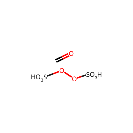 C=O.O=S(=O)(O)OOS(=O)(=O)O